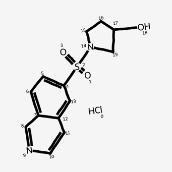 Cl.O=S(=O)(c1ccc2cnccc2c1)N1CCC(O)C1